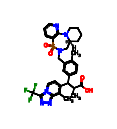 Cc1ccc(C(c2ccn3c(C(F)(F)F)nnc3c2C)C(C)C(=O)O)cc1CN1C[C@@H]2CCCCN2c2ncccc2S1(=O)=O